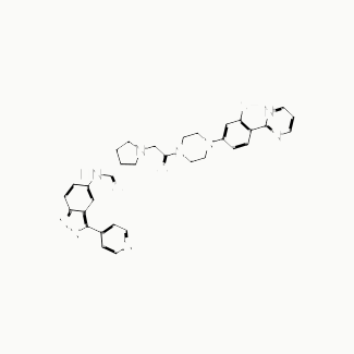 O=C(Nc1ccc2n[nH]c(-c3ccncc3)c2c1)[C@@H]1CCN(CC(=O)N2CCN(c3ccc(-c4ncccn4)c(S)c3)CC2)C1